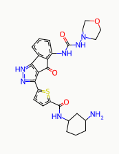 NC1CCCC(NC(=O)c2ccc(-c3n[nH]c4c3C(=O)c3c(NC(=O)NN5CCOCC5)cccc3-4)s2)C1